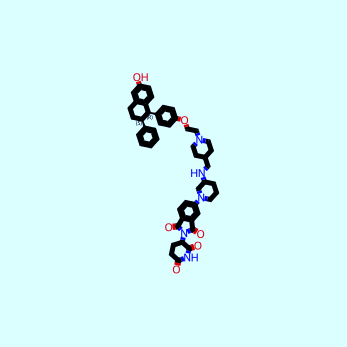 O=C1CCC(N2C(=O)c3ccc(N4CCCC(NCC5CCN(CCOc6ccc([C@@H]7c8ccc(O)cc8CC[C@@H]7c7ccccc7)cc6)CC5)C4)cc3C2=O)C(=O)N1